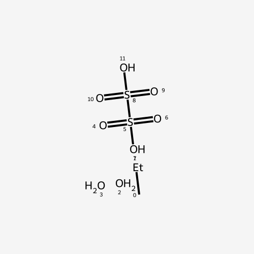 CCC.O.O.O=S(=O)(O)S(=O)(=O)O